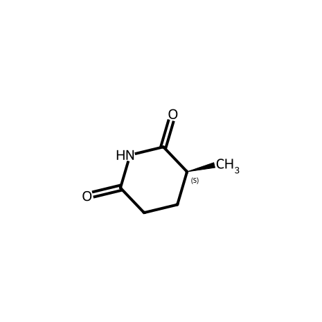 C[C@H]1CCC(=O)NC1=O